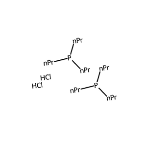 CCCP(CCC)CCC.CCCP(CCC)CCC.Cl.Cl